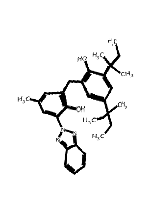 CCC(C)(C)c1cc(Cc2cc(C)cc(-n3nc4ccccc4n3)c2O)c(O)c(C(C)(C)CC)c1